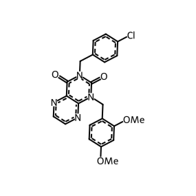 COc1ccc(Cn2c(=O)n(Cc3ccc(Cl)cc3)c(=O)c3nccnc32)c(OC)c1